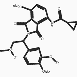 CCCCCCCCCc1ccc(NC(=O)C2CC2)c2c1C(=O)N(C(C[S+](C)[O-])c1ccc(OC)c(OCC)c1)C2=O